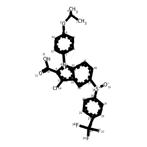 CC(C)Oc1ccc(-n2c(C(=O)O)c(Cl)c3cc([S+]([O-])c4ccc(C(F)(F)F)cc4)ccc32)cc1